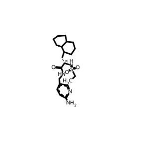 CCS(=O)(=O)N[C@@H](CC1CCCC2CCCCC21)C(=O)NCc1ccc(N)nc1